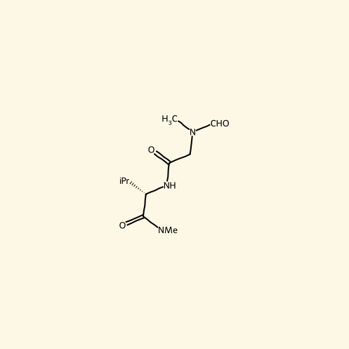 CNC(=O)[C@@H](NC(=O)CN(C)C=O)C(C)C